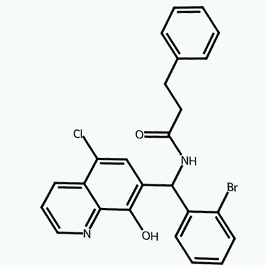 O=C(CCc1ccccc1)NC(c1ccccc1Br)c1cc(Cl)c2cccnc2c1O